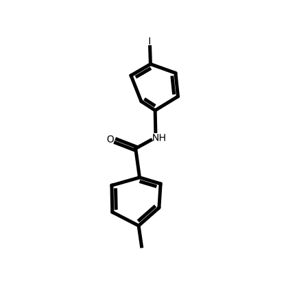 Cc1ccc(C(=O)Nc2ccc(I)cc2)cc1